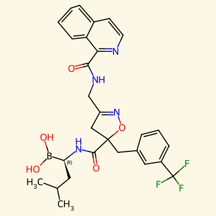 CC(C)C[C@H](NC(=O)C1(Cc2cccc(C(F)(F)F)c2)CC(CNC(=O)c2nccc3ccccc23)=NO1)B(O)O